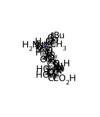 CC(C)(C)OC(=O)C(C)(C)O/N=C(\C(=O)NC1C(=O)N2C(C(=O)O)=C(CSc3nnnn3-c3cc(O)c(O)c(Cl)c3CC(=O)O)CS[C@@H]12)c1csc(N)n1